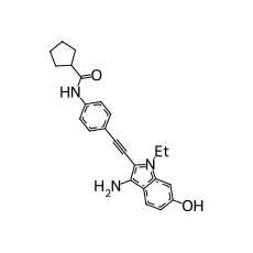 CCn1c(C#Cc2ccc(NC(=O)C3CCCC3)cc2)c(N)c2ccc(O)cc21